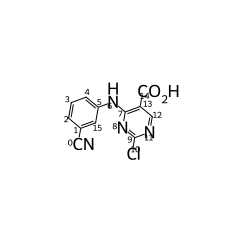 N#Cc1cccc(Nc2nc(Cl)ncc2C(=O)O)c1